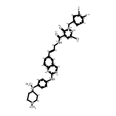 CN1CCC(N(C)c2ccc(Nc3ncc4cc(C=CCNC(=O)c5cc(Cl)nn(Cc6ccc(F)c(F)c6)c5=O)ccc4n3)cc2)CC1